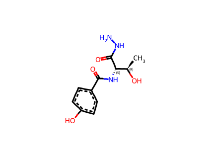 C[C@@H](O)[C@H](NC(=O)c1ccc(O)cc1)C(=O)NN